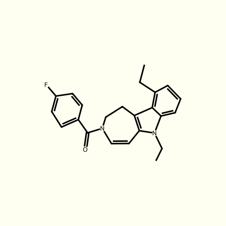 CCc1cccc2c1c1c(n2CC)C=CN(C(=O)c2ccc(F)cc2)CC1